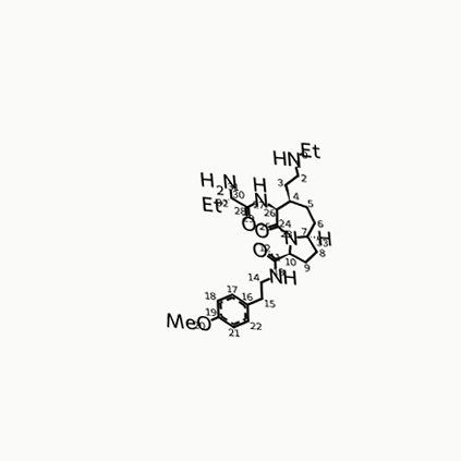 CCNCC[C@H]1CC[C@H]2CC[C@@H](C(=O)NCCc3ccc(OC)cc3)N2C(=O)[C@H]1NC(=O)[C@@H](N)CC